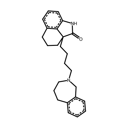 O=C1Nc2cccc3c2C1(CCCCN1CCCc2ccccc2C1)CCC3